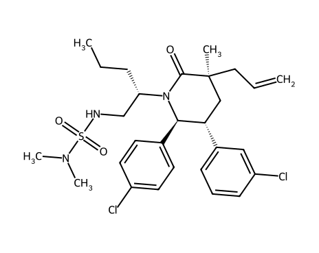 C=CC[C@@]1(C)C[C@H](c2cccc(Cl)c2)[C@@H](c2ccc(Cl)cc2)N([C@@H](CCC)CNS(=O)(=O)N(C)C)C1=O